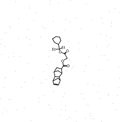 CCC(CC)(OC(=O)COC(=O)C1CC2CC1C1C3C=CC(C3)C21)C1CCCCC1